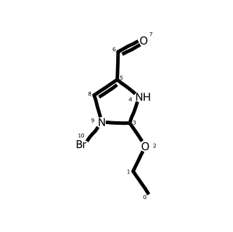 CCOC1NC(C=O)=CN1Br